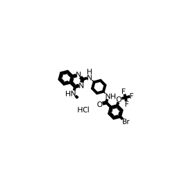 CNc1nc(N[C@H]2CC[C@@H](NC(=O)c3ccc(Br)cc3OC(F)(F)F)CC2)nc2ccccc12.Cl